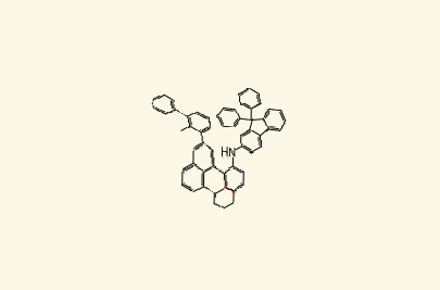 Cc1c(-c2ccccc2)cccc1-c1cc(-c2ccccc2Nc2ccc3c(c2)C(c2ccccc2)(c2ccccc2)c2ccccc2-3)c2c(C3CCCCC3)cccc2c1